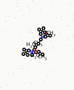 CC1(C)c2ccccc2-c2ccc(-c3cccc(N(c4ccc5c(c4)C(c4ccccc4)(c4ccccc4)c4ccccc4-5)c4ccccc4-c4cccc(-c5ccc6c(c5)-c5ccc(-c7ccc(N(c8ccc9c(c8)C(C)(C)c8ccccc8-9)c8ccc9c(c8)C(c8ccccc8)(c8ccccc8)c8ccccc8-9)cc7)cc5C6(C)C)c4)c3)cc21